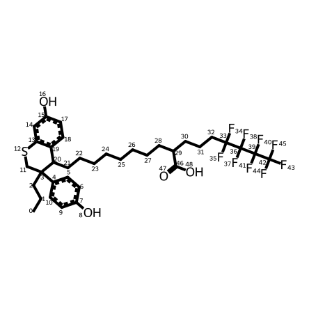 CCCC1(c2ccc(O)cc2)CSc2cc(O)ccc2C1CCCCCCCCC(CCCC(F)(F)C(F)(F)C(F)(F)C(F)(F)F)C(=O)O